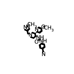 COc1ccc([C@@H]2CN(Cc3cnn(C)c3)CC[C@H]2NC(=O)Nc2ccc(C#N)cc2)nc1